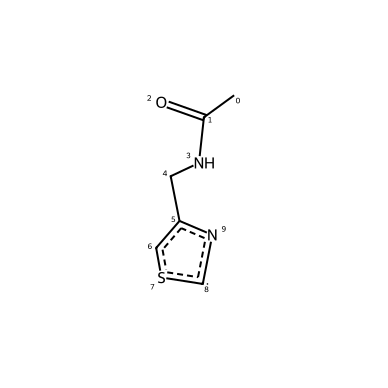 CC(=O)NCc1cs[c]n1